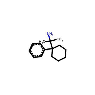 CC(C)(N)C1(c2ccccc2)C[CH]CCC1